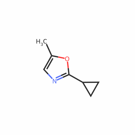 Cc1cnc(C2CC2)o1